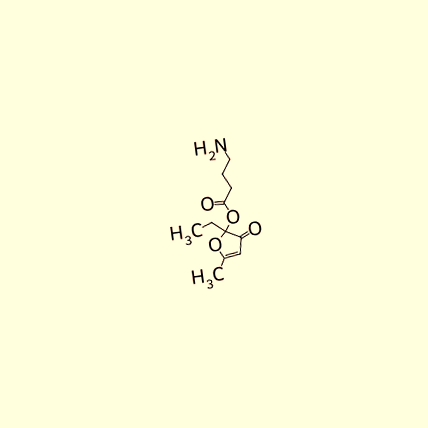 CCC1(OC(=O)CCCN)OC(C)=CC1=O